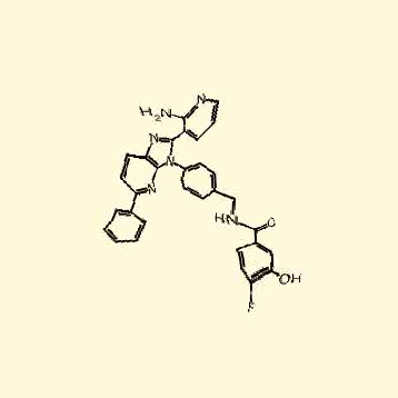 Nc1ncccc1-c1nc2ccc(-c3ccccc3)nc2n1-c1ccc(CNC(=O)c2ccc(F)c(O)c2)cc1